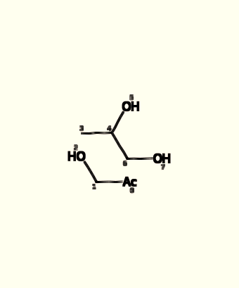 CC(=O)CO.CC(O)CO